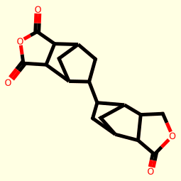 O=C1OCC2C3CC(CC3C3CC4CC3C3C(=O)OC(=O)C43)C12